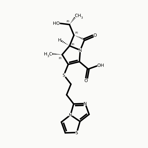 C[C@@H](O)[C@@H]1C(=O)N2C(C(=O)O)=C(SCCc3ncc4sccn34)[C@H](C)[C@@H]12